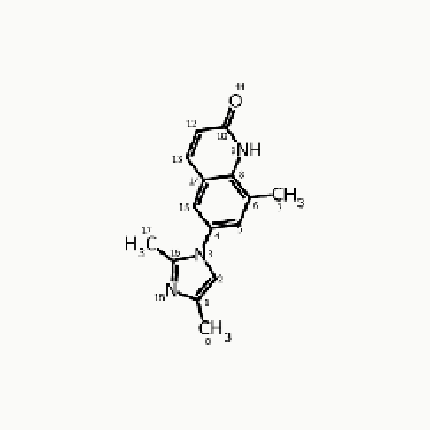 Cc1cn(-c2cc(C)c3[nH]c(=O)ccc3c2)c(C)n1